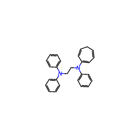 C1=CCC=CC(N(CCN(c2ccccc2)c2ccccc2)c2ccccc2)=C1